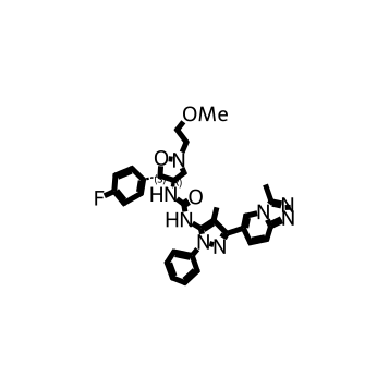 COCCN1C[C@@H](NC(=O)Nc2c(C)c(-c3ccc4nnc(C)n4c3)nn2-c2ccccc2)[C@H](c2ccc(F)cc2)O1